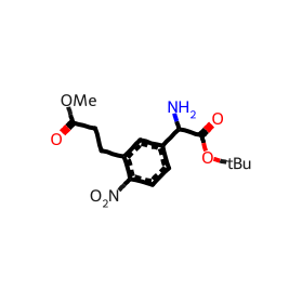 COC(=O)CCc1cc(C(N)C(=O)OC(C)(C)C)ccc1[N+](=O)[O-]